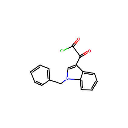 O=C(Cl)C(=O)c1cn(Cc2ccccc2)c2ccccc12